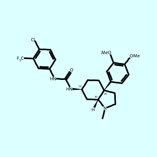 COc1ccc([C@]23CC[C@H](NC(=O)Nc4ccc(Cl)c(C(F)(F)F)c4)C[C@H]2N(C)CC3)cc1OC